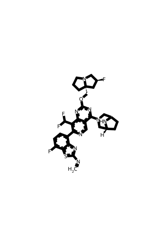 C=Nc1nc2c(-c3ncc4c(N5CC6CC[C@H](C5)N6)nc(OC[C@]56CCCN5C[C@@H](F)C6)nc4c3C(F)F)ccc(F)c2s1